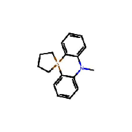 CN1c2ccccc2S2(CCCC2)c2ccccc21